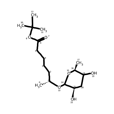 C[C@H](CCCCC(=O)OC(C)(C)C)OC1O[C@@H](C)C(O)C[C@H]1O